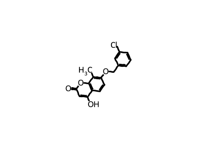 Cc1c(OCc2cccc(Cl)c2)ccc2c(O)cc(=O)oc12